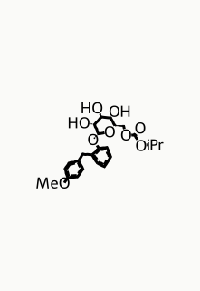 COc1ccc(Cc2ccccc2O[C@H]2O[C@H](COC(=O)OC(C)C)[C@@H](O)[C@H](O)[C@H]2O)cc1